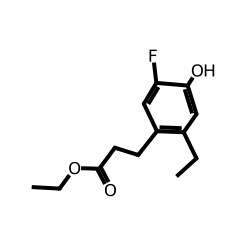 CCOC(=O)CCc1cc(F)c(O)cc1CC